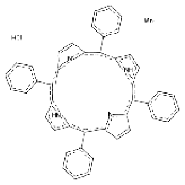 C1=Cc2nc1c(-c1ccccc1)c1ccc([nH]1)c(-c1ccccc1)c1nc(c(-c3ccccc3)c3ccc([nH]3)c2-c2ccccc2)C=C1.Cl.[Mn]